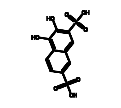 O=S(=O)(O)c1ccc2c(O)c(O)c(S(=O)(=O)O)cc2c1